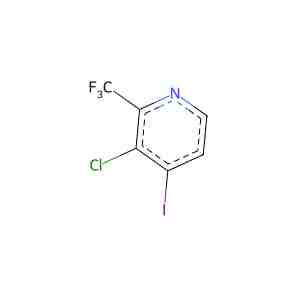 FC(F)(F)c1nccc(I)c1Cl